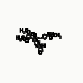 C=CC(=O)Nc1ccc(CCn2c(=O)c(-c3c(Cl)c(OC)cc(OC)c3Cl)cc3cnc(NC4CCOCC4)nc32)cc1